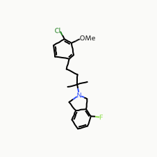 COc1cc(CCC(C)(C)N2Cc3cccc(F)c3C2)ccc1Cl